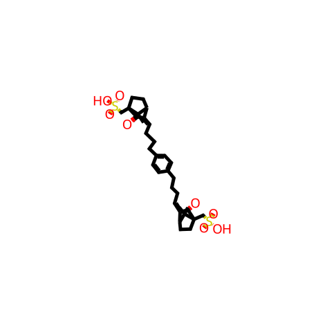 CC1(C)C2CCC1(CS(=O)(=O)O)C(=O)/C2=C\CCCc1ccc(CCC/C=C2\C(=O)C3(CS(=O)(=O)O)CCC2C3(C)C)cc1